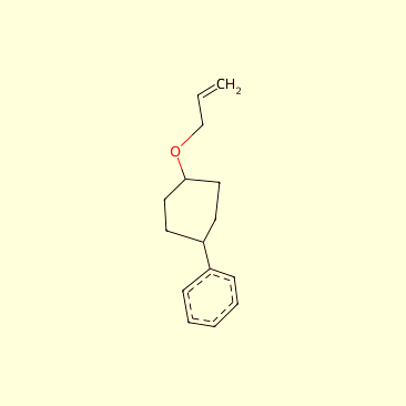 C=CCOC1CCC(c2ccccc2)CC1